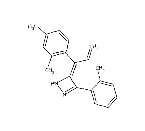 C=C/C(=C1/NN=C1c1ccccc1C)c1ccc(C)cc1C